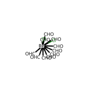 O=[CH][Re]([Cl])([Cl])([CH]=O)([CH]=O)([CH]=O)([CH]=O)([CH]=O)([CH]=O)([CH]=O)([CH]=O)[CH]=O